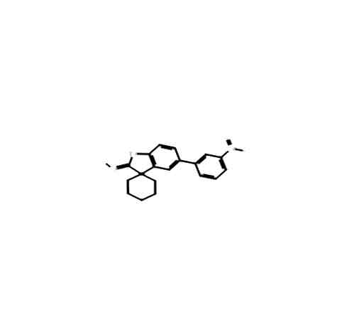 O=[N+]([O-])c1cccc(-c2ccc3c(c2)C2(CCCCC2)/C(=N/O)N3)c1